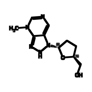 CN1C=NC=C2C1=NNN2[C@@H]1CC[C@@H](CO)O1